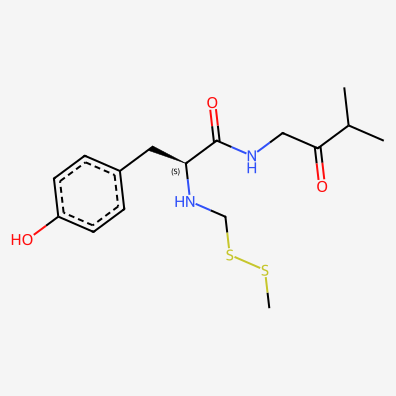 CSSCN[C@@H](Cc1ccc(O)cc1)C(=O)NCC(=O)C(C)C